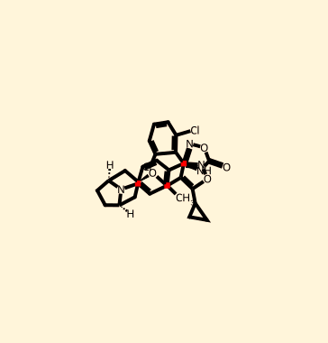 Cc1cc(N2[C@@H]3CC[C@H]2C[C@@H](OCc2c(-c4c(Cl)cccc4Cl)noc2C2CC2)C3)ccc1-c1noc(=O)[nH]1